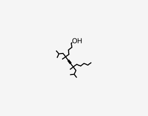 CCCCCC(C)(C#CC(C)(CCCCO)CC(C)C)CC(C)C